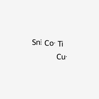 [Co].[Cu].[Sn].[Ti]